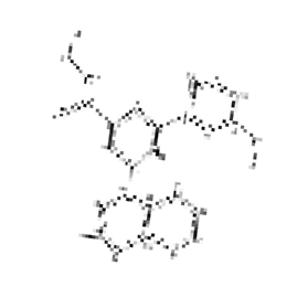 CCOC(=O)c1cc(-c2cc(CC)ccn2)nc(-c2cc(C)cc3cccnc23)c1